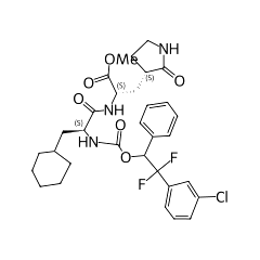 COC(=O)[C@H](C[C@@H]1CCNC1=O)NC(=O)[C@H](CC1CCCCC1)NC(=O)OC(c1ccccc1)C(F)(F)c1cccc(Cl)c1